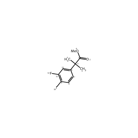 COC(=O)C(C)(C)c1ccc(I)c(F)c1